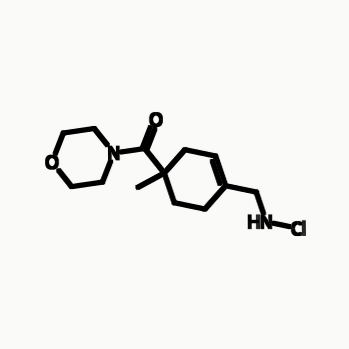 CC1(C(=O)N2CCOCC2)CC=C(CNCl)CC1